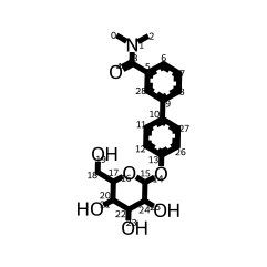 CN(C)C(=O)c1cccc(-c2ccc(OC3OC(CO)C(O)C(O)C3O)cc2)c1